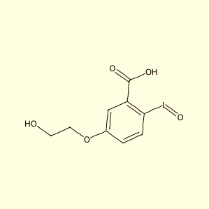 O=Ic1ccc(OCCO)cc1C(=O)O